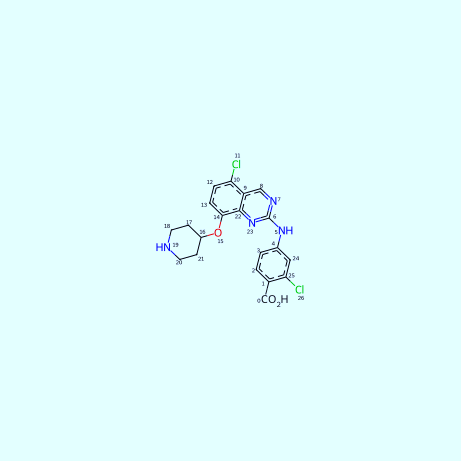 O=C(O)c1ccc(Nc2ncc3c(Cl)ccc(OC4CCNCC4)c3n2)cc1Cl